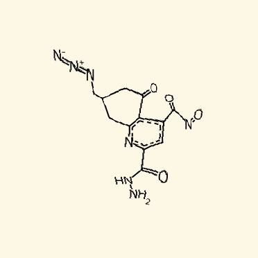 [N-]=[N+]=NCC1CC(=O)c2c(C(=O)N=O)cc(C(=O)NN)nc2C1